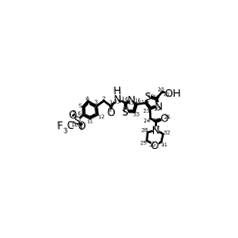 O=C(Cc1ccc(S(=O)(=O)C(F)(F)F)cc1)Nc1nc(-c2sc(CO)nc2CC(=O)N2CCOCC2)cs1